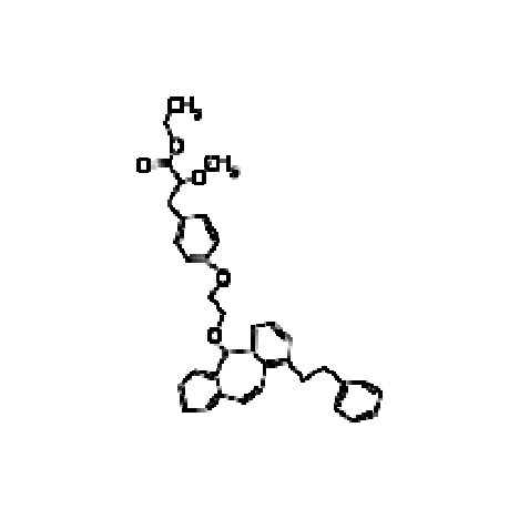 CCOC(=O)C(Cc1ccc(OCCOC2c3ccccc3C=Cc3c(CCc4ccccc4)cccc32)cc1)OC